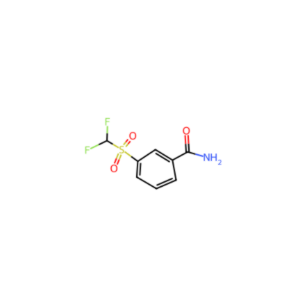 NC(=O)c1cccc(S(=O)(=O)C(F)F)c1